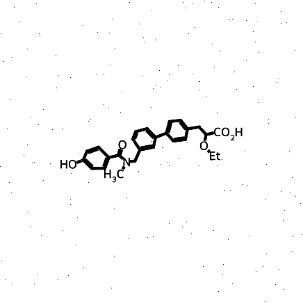 CCOC(Cc1ccc(-c2cccc(CN(C)C(=O)c3ccc(O)cc3)c2)cc1)C(=O)O